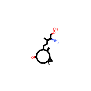 C=C1CC2C[C@]2(C)CCCC(=O)CCC1CC/C(C)=C(\N)COO